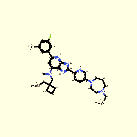 COCC1(CN(C)c2cc(-c3cc(F)cc(C(F)(F)F)c3)nc3nc(-c4ccc(N5CCCN(CC(=O)O)CC5)cn4)[nH]c23)CCC1